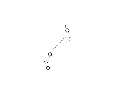 Cc1ncsc1-c1ccc(CNC(=O)C2C[C@@H](O)CN2C(=O)[C@@H](CC(=O)COCCCCCNc2ccc(C(=O)N[C@H]3C(C)(C)[C@H](Oc4ccc(C#N)c(Cl)c4)C3(C)C)cc2)C(C)C)cc1